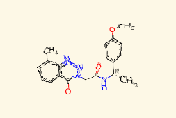 COc1ccc([C@H](C)NC(=O)Cn2nnc3c(C)cccc3c2=O)cc1